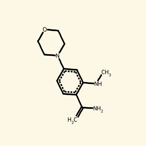 C=C(N)c1ccc(N2CCOCC2)cc1NC